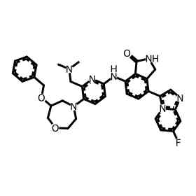 CN(C)Cc1nc(Nc2ccc(-c3cnc4cc(F)ccn34)c3c2C(=O)NC3)ccc1N1CCOCC(OCc2ccccc2)C1